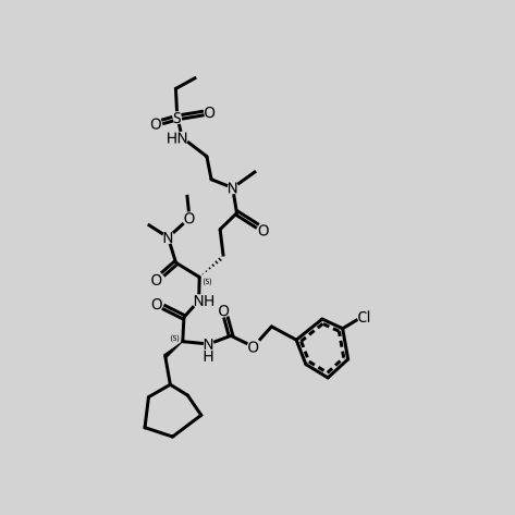 CCS(=O)(=O)NCCN(C)C(=O)CC[C@H](NC(=O)[C@H](CC1CCCCC1)NC(=O)OCc1cccc(Cl)c1)C(=O)N(C)OC